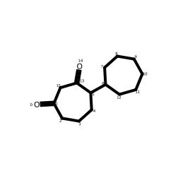 O=C1CCCC(C2CCCCCC2)C(=O)C1